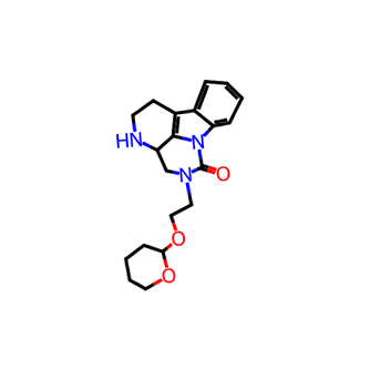 O=C1N(CCOC2CCCCO2)CC2NCCc3c2n1c1ccccc31